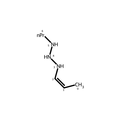 C/C=C\NNNCCC